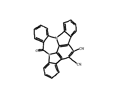 N#Cc1c(C#N)c2c3ccccc3n3c4ccccc4c(=O)n4c5ccccc5c1c4c23